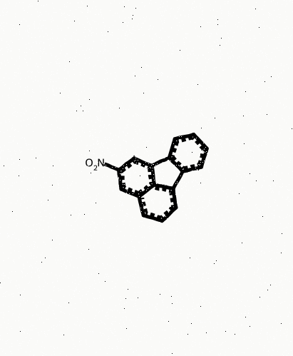 O=[N+]([O-])c1[c]c2c3c(cccc3c1)-c1ccccc1-2